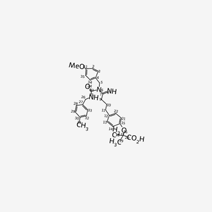 COc1ccc(CN(C(=N)CCCc2ccc(OC(C)(C)C(=O)O)cc2)C(=O)NCc2ccc(C)cc2)cc1